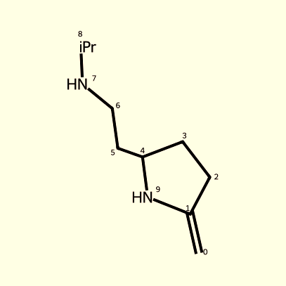 C=C1CCC(CCNC(C)C)N1